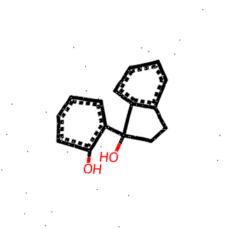 Oc1ccccc1C1(O)CCc2ccccc21